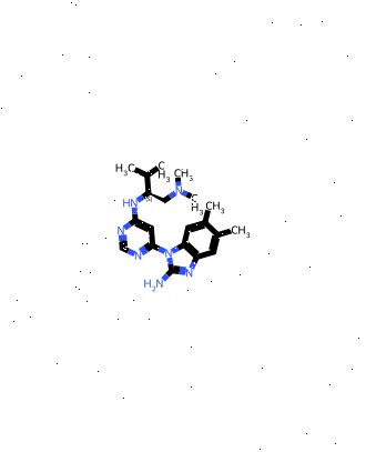 Cc1cc2nc(N)n(-c3cc(N[C@H](CN(C)C)C(C)C)ncn3)c2cc1C